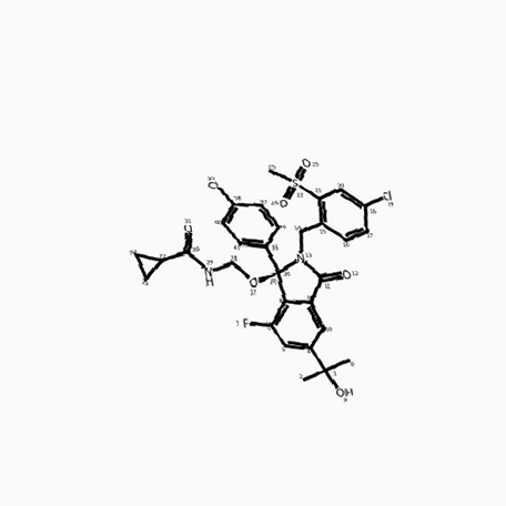 CC(C)(O)c1cc(F)c2c(c1)C(=O)N(Cc1ccc(Cl)cc1S(C)(=O)=O)[C@@]2(OCNC(=O)C1CC1)c1ccc(Cl)cc1